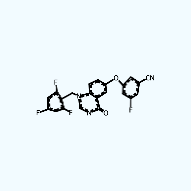 N#Cc1cc(F)cc(Oc2ccc3c(c2)c(=O)ncn3Cc2c(F)cc(F)cc2F)c1